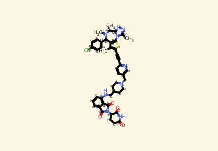 Cc1c(C#Cc2ccc(CN3CCC(CNc4cccc5c4C(=O)N(C4CCC(=O)NC4=O)C5=O)CC3)cn2)sc2c1C(c1ccc(Cl)cc1)N(C)[C@@H](C)c1nnc(C)n1-2